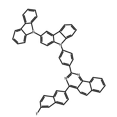 Fc1ccc2cc(-c3nc(-c4ccc(-n5c6ccccc6c6cc(-n7c8ccccc8c8ccccc87)ccc65)cc4)nc4c3ccc3ccccc34)ccc2c1